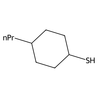 CCCC1CCC(S)CC1